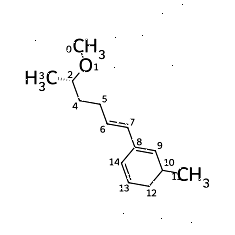 CO[C@@H](C)CC/C=C/C1=CC(C)CC=C1